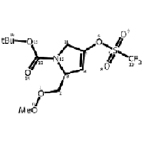 COOC[C@@H]1C=C(OS(=O)(=O)C(F)(F)F)CN1C(=O)OC(C)(C)C